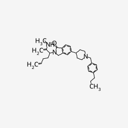 C=CCCC(C(=C)NC)N1Cc2cc(C3CCN(Cc4ccc(CCC)cc4)CC3)ccc2C1=O